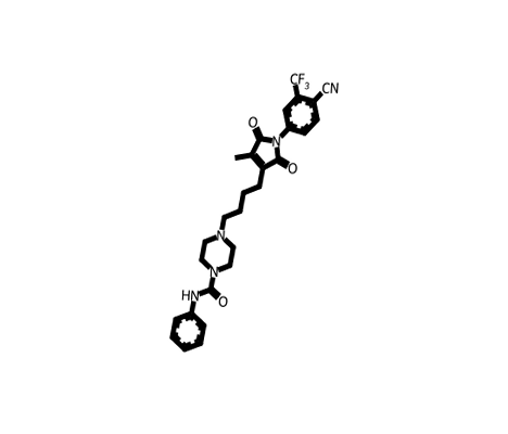 CC1=C(CCCCN2CCN(C(=O)Nc3ccccc3)CC2)C(=O)N(c2ccc(C#N)c(C(F)(F)F)c2)C1=O